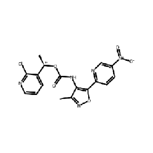 Cc1noc(-c2ccc([N+](=O)[O-])cn2)c1NC(=O)O[C@H](C)c1cccnc1Cl